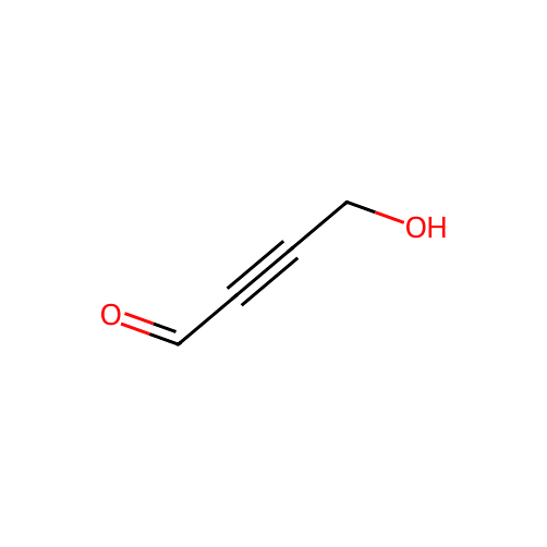 O=CC#CCO